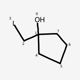 OC1(CI)CCCC1